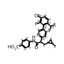 CC1CC1CC(C(=O)Nc1ccc(C(=O)O)cc1)c1ccc(-c2c(C(F)F)ccc(Cl)c2F)cn1